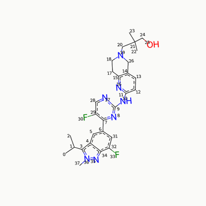 CC(C)c1c2cc(-c3nc(Nc4ccc5c(n4)CCN(CC(C)(C)CO)C5)ncc3F)cc(F)c2nn1C